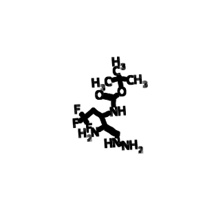 CC(C)(C)OC(=O)NC(CC(F)(F)F)/C(N)=C/NN